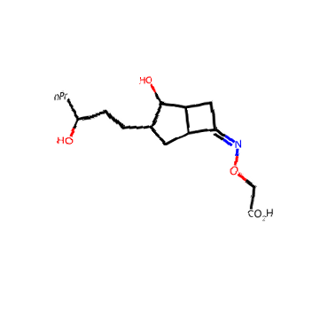 CCCC(O)CCC1CC2C(=NOCC(=O)O)CC2C1O